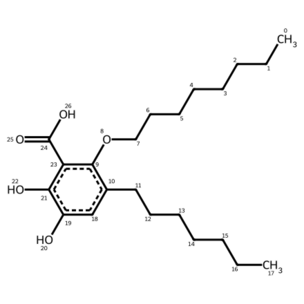 CCCCCCCCOc1c(CCCCCCC)cc(O)c(O)c1C(=O)O